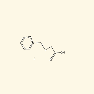 O=C(O)CCC[n+]1ccccc1.[I-]